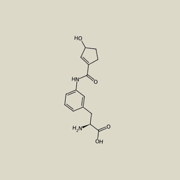 N[C@@H](Cc1cccc(NC(=O)C2=CC(O)CC2)c1)C(=O)O